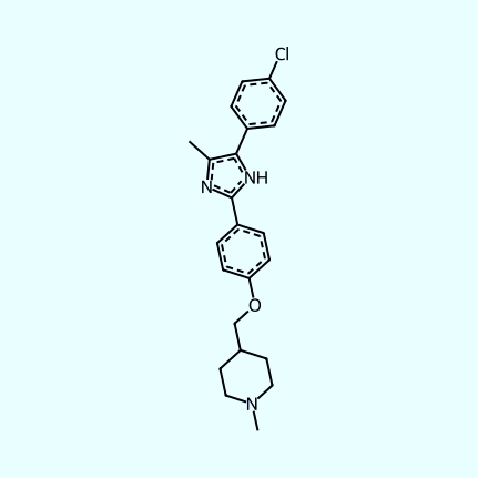 Cc1nc(-c2ccc(OCC3CCN(C)CC3)cc2)[nH]c1-c1ccc(Cl)cc1